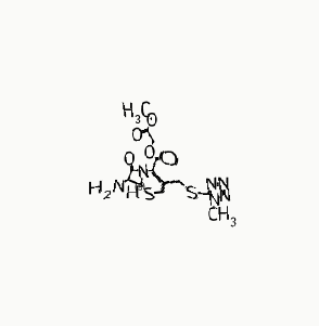 COC(=O)COC(=O)C1=C(CSc2nnnn2C)CS[C@H]2C(N)C(=O)N12